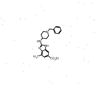 CCOC(=O)c1cc(C)c2nc(NC3CCN(Cc4ccccc4)CC3)[nH]c2c1